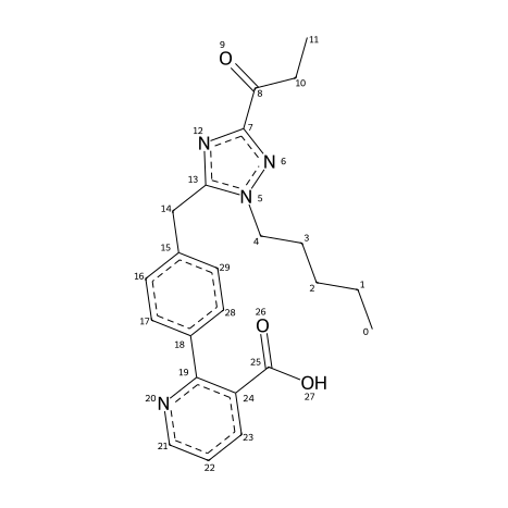 CCCCCn1nc(C(=O)CC)nc1Cc1ccc(-c2ncccc2C(=O)O)cc1